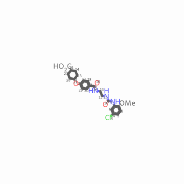 COc1ccc(Cl)cc1NC(=O)NCCNC(=O)c1ccc(O[C@H]2CC[C@@H](C(=O)O)CC2)cc1